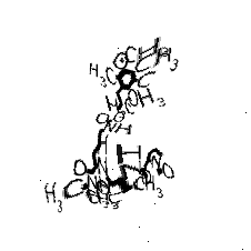 COc1c(C)c(C)c(OC)c(CCCOC(=O)NCCCC(NC(=O)C(NC(=O)C2CCCN2C=O)C(C)C)C(=O)NC(C)C)c1C